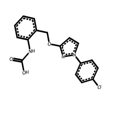 O=C(O)Nc1ccccc1COc1ccn(-c2ccc(Cl)cc2)n1